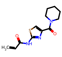 C=CC(=O)Nc1nc(C(=O)N2CCCCC2)cs1